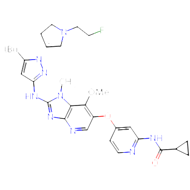 COc1c(Oc2ccnc(NC(=O)C3CC3)c2)cnc2nc(Nc3cc(C(C)(C)C)n([C@@H]4CCN(CCF)C4)n3)n(C)c12